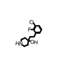 OC1(CCc2cccc(Cl)c2F)CCNCC1